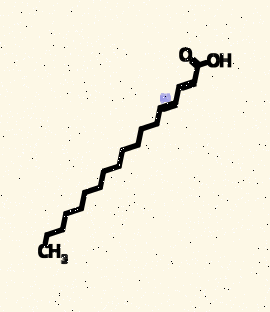 CCCCCCCCCCCCC/C=C/C=CC(=O)O